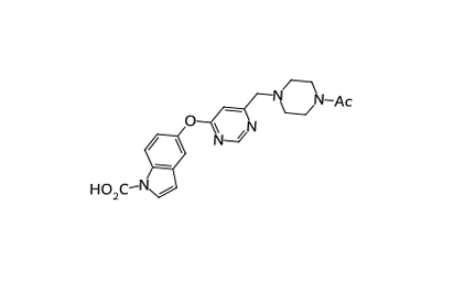 CC(=O)N1CCN(Cc2cc(Oc3ccc4c(ccn4C(=O)O)c3)ncn2)CC1